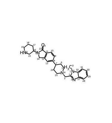 Cn1c(CN2CCC(c3ccc4c(c3)CN(C3CCCNC3)C4=O)CC2)nc2ccccc21